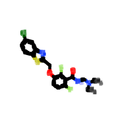 CN(C)/C=N/C(=O)c1c(F)ccc(OCc2nc3cc(Cl)ccc3s2)c1F